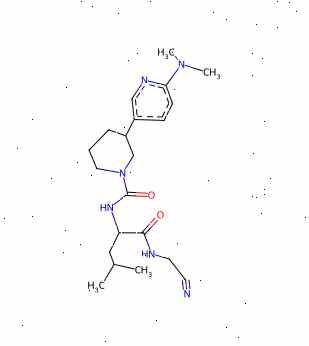 CC(C)CC(NC(=O)N1CCCC(c2ccc(N(C)C)nc2)C1)C(=O)NCC#N